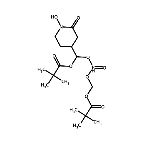 CC(C)(C)C(=O)OCO[PH](=O)OC(OC(=O)C(C)(C)C)C1CCN(O)C(=O)C1